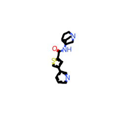 O=C(NC1CN2CCC1CC2)c1cc(-c2cccnc2)cs1